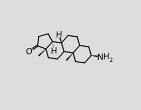 C[C@]12CC[C@H](N)CC1CC[C@@H]1C2CC[C@]2(C)C(=O)CC[C@@H]12